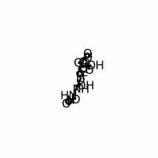 CC1(C)OCC(COC(=O)C(Cc2ccc(OCC(O)CNCCNC(=O)N3CCOCC3)c(F)c2)OC(=O)C(=O)O)O1